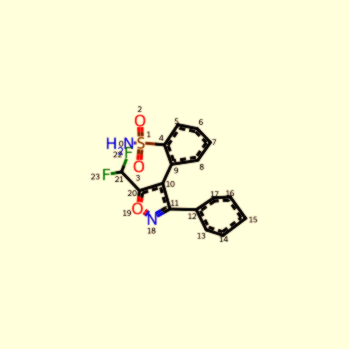 NS(=O)(=O)c1ccccc1-c1c(-c2ccccc2)noc1C(F)F